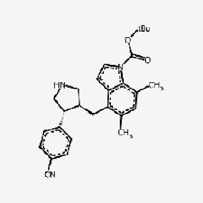 Cc1cc(C)c2c(ccn2C(=O)OC(C)(C)C)c1C[C@@H]1CNC[C@H]1c1ccc(C#N)cc1